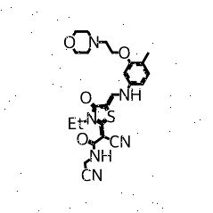 CCn1c(=C(C#N)C(=O)NCC#N)sc(=CNc2ccc(C)c(OCCN3CCOCC3)c2)c1=O